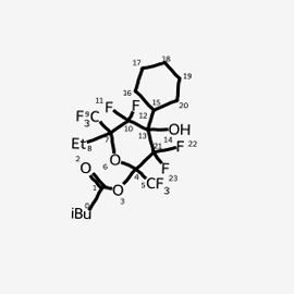 CCC(C)C(=O)OC1(C(F)(F)F)OC(CC)(C(F)(F)F)C(F)(F)C(O)(C2CCCCC2)C1(F)F